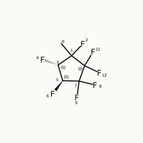 CC1(F)[C@@H](F)[C@H](F)C(F)(F)C1(F)F